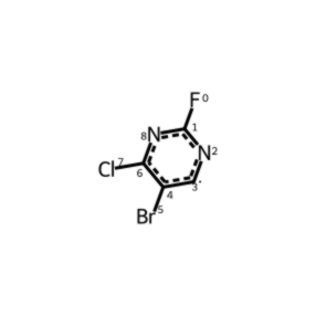 Fc1n[c]c(Br)c(Cl)n1